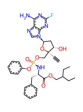 C#C[C@]1(CO[P@](=O)(N[C@@H](Cc2ccccc2)C(=O)OCC(CC)CC)Oc2ccccc2)O[C@@H](n2cnc3c(N)nc(F)nc32)C[C@@H]1O